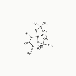 C=C(C)C(=O)N(CCC)[Si](C)(O[Si](C)(C)C)O[Si](C)(C)C